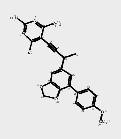 CCc1nc(N)nc(N)c1C#CC(C)c1cc2c(c(-c3ccc(OC(=O)O)cc3)c1)OCO2